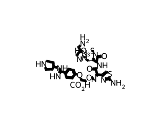 N=C(NC1CCNCC1)c1ccc(OC[C@H](ON=C(C(=O)N[C@@H]2C(=O)N(S(=O)(=O)O)[C@H]2Cn2ncc(CN)n2)c2csc(N)n2)C(=O)O)cc1